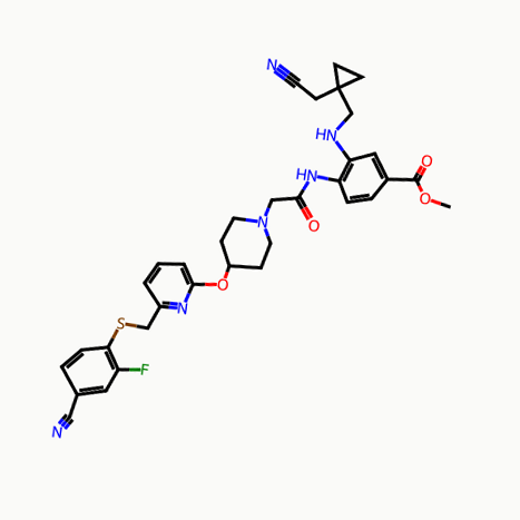 COC(=O)c1ccc(NC(=O)CN2CCC(Oc3cccc(CSc4ccc(C#N)cc4F)n3)CC2)c(NCC2(CC#N)CC2)c1